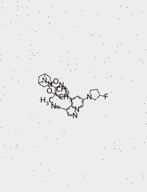 CC(C)(C)OC(=O)N1C2CC1CN(c1ccc(-c3cc(N4CC[C@@H](F)C4)cn4ncc(C#N)c34)cn1)C2